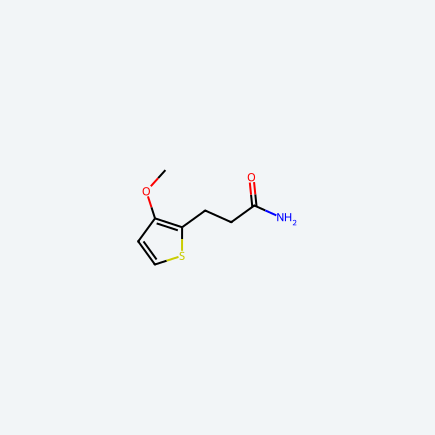 COc1ccsc1CCC(N)=O